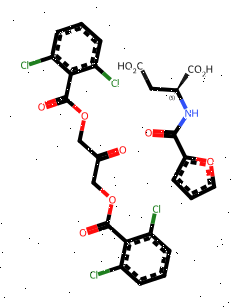 O=C(COC(=O)c1c(Cl)cccc1Cl)COC(=O)c1c(Cl)cccc1Cl.O=C(O)C[C@H](NC(=O)c1ccco1)C(=O)O